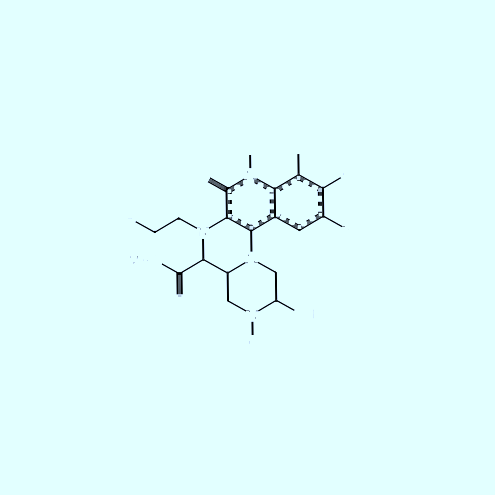 COC(=O)C1C2CN(C)C(C)CN2c2c(c(=O)n(C)c3c(F)c(C)c(F)cc23)N1CCF